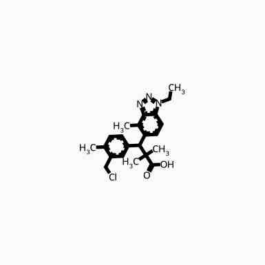 CCn1nnc2c(C)c(C(c3ccc(C)c(CCl)c3)C(C)(C)C(=O)O)ccc21